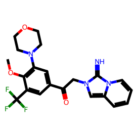 COc1c(N2CCOCC2)cc(C(=O)Cn2cc3ccccn3c2=N)cc1C(F)(F)F